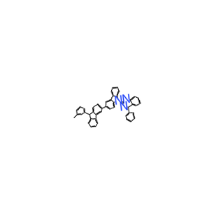 Cc1cccc(C2c3ccccc3-c3cc(-c4ccc5c(c4)c4ccccc4n5-c4nc(-c5ccccc5)c5ccccc5n4)ccc32)c1